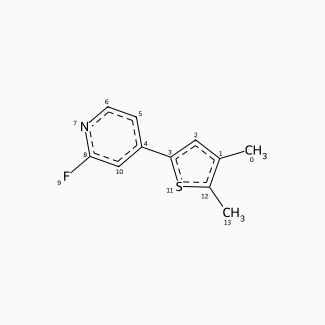 Cc1cc(-c2ccnc(F)c2)sc1C